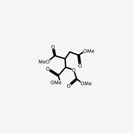 COC(=O)CC(C(=O)OC)C(OC(=O)OC)C(=O)OC